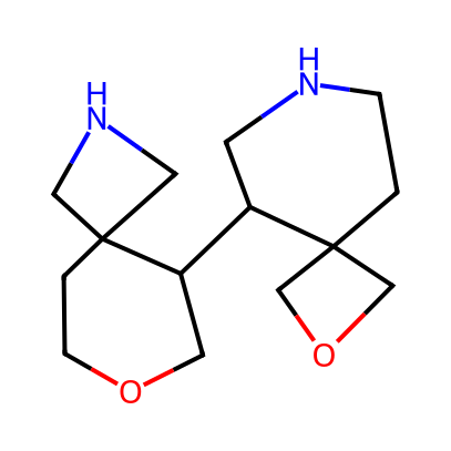 C1CC2(COC2)C(C2COCCC23CNC3)CN1